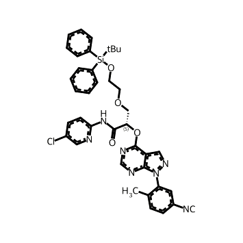 [C-]#[N+]c1ccc(C)c(-n2ncc3c(O[C@@H](COCCO[Si](c4ccccc4)(c4ccccc4)C(C)(C)C)C(=O)Nc4ccc(Cl)cn4)ncnc32)c1